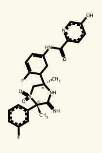 C[C@@]1(C2CC(NC(=O)c3ccc(O)cn3)=CC=C2F)CS(=O)(=O)[C@@](C)(c2cccc(F)c2)C(=N)N1